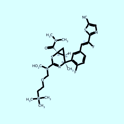 CN(C)C(=O)[C@]12C[C@H]1[C@@](C)(c1cc(/C=C(\F)c3ncc(C#N)s3)ccc1F)N=C(N(COCC[Si](C)(C)C)C(=O)O)S2